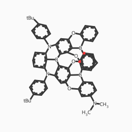 CN(C)c1ccc2c(c1)Oc1cc3c(c4c1B2c1ccccc1O4)B1c2c(cccc2N3c2ccc(C(C)(C)C)cc2)N(c2ccc(C(C)(C)C)cc2)c2cc3c4c(c21)Oc1ccccc1B4c1ccccc1O3